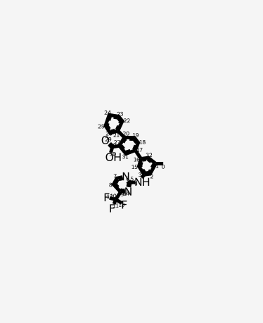 Cc1cc(Nc2nccc(C(F)(F)F)n2)cc(-c2ccc(-c3ccccc3)c(C(=O)O)c2)c1